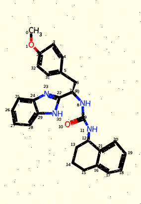 COc1ccc(C[C@@H](NC(=O)NC2CCCc3ccccc32)c2nc3ccccc3[nH]2)cc1